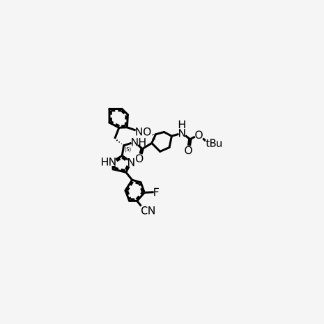 CC(C)(C)OC(=O)NC1CCC(C(=O)N[C@@H](Cc2ccccc2[N+](=O)[O-])c2nc(-c3ccc(C#N)c(F)c3)c[nH]2)CC1